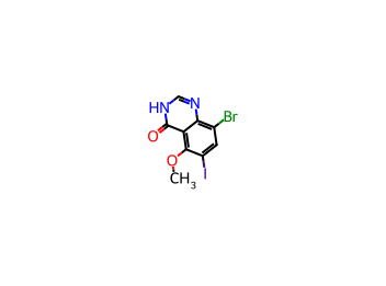 COc1c(I)cc(Br)c2nc[nH]c(=O)c12